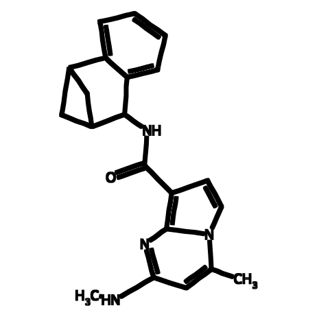 CNc1cc(C)n2ccc(C(=O)NC3c4ccccc4C4CC3C4)c2n1